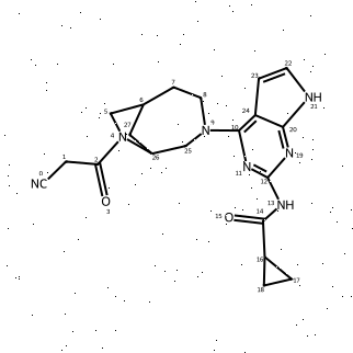 N#CCC(=O)N1CC2CCN(c3nc(NC(=O)C4CC4)nc4[nH]ccc34)CC1C2